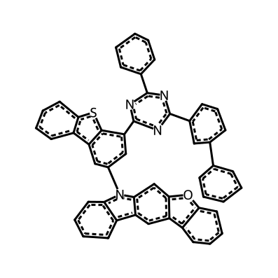 c1ccc(-c2cccc(-c3nc(-c4ccccc4)nc(-c4cc(-n5c6ccccc6c6cc7c(cc65)oc5ccccc57)cc5c4sc4ccccc45)n3)c2)cc1